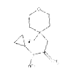 C=C(CC1(C(C)C)CCOCC1)N(CCC)C1CC1